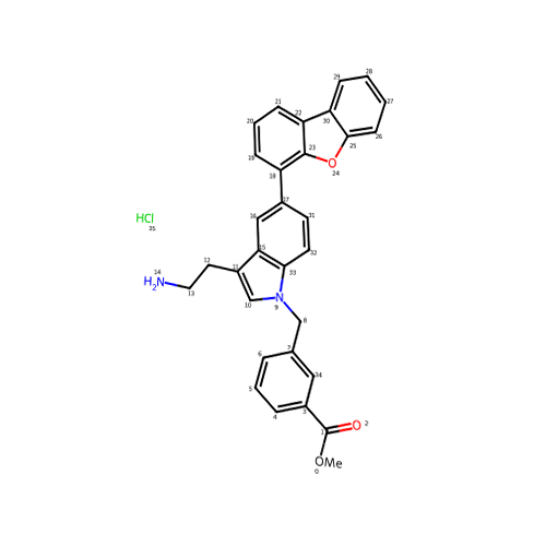 COC(=O)c1cccc(Cn2cc(CCN)c3cc(-c4cccc5c4oc4ccccc45)ccc32)c1.Cl